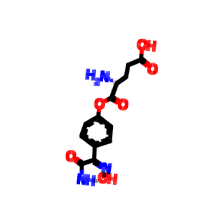 [NH]C(=O)C(=NO)c1ccc(OC(=O)[C@H](N)CCC(=O)O)cc1